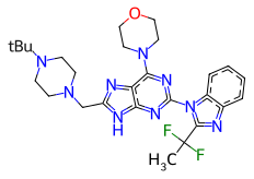 CC(F)(F)c1nc2ccccc2n1-c1nc(N2CCOCC2)c2nc(CN3CCN(C(C)(C)C)CC3)[nH]c2n1